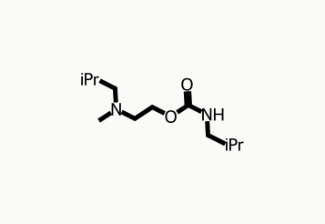 CC(C)CNC(=O)OCCN(C)CC(C)C